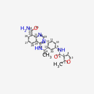 Cc1occc1C(=O)Nc1cccc(C(C)Nc2ncnc3c(C(N)=O)cccc23)c1